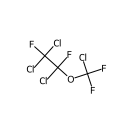 FC(F)(Cl)OC(F)(Cl)C(F)(Cl)Cl